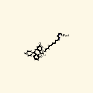 CCCCC/C=C\C/C=C\CCCCCCCCOP(=O)(O)N1c2ccc(Cl)cc2N=C(N2CCN(C)CC2)c2ccccc21